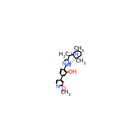 C=C(c1cnc(-c2ccc(-c3ccnc(OC)c3)cc2O)nn1)C1C[C@@]2(C)CC[C@](C)(N2)[C@@H]1F